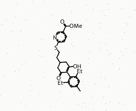 CCc1cc(C)cc(CC)c1C1=C(O)CC(CCSc2ccc(C(=O)OC)cn2)CC1=O